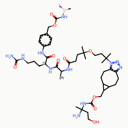 CB(I)NC(=O)OCc1ccc(NC(=O)[C@H](CCCNC(N)=O)NC(=O)C(NC(=O)CCC(C)(C)OCCC(C)(C)n2nnc3c2CCC2C(CC3)C2COC(=O)NC(C)(N)CCO)C(C)C)cc1